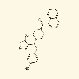 CCCCC1CN(C(=O)c2cccc3ccccc23)CCN1C(Cc1ccc(C#N)cc1)c1cnc[nH]1